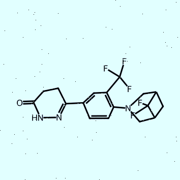 O=C1CCC(c2ccc(N3CC4CC(C3)C4(F)F)c(C(F)(F)F)c2)=NN1